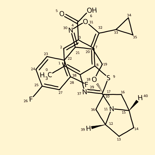 Cc1cc(C(=O)O)cc2sc(N3[C@@H]4CC[C@H]3C[C@@H](OCc3c(-c5ccc(F)cc5F)noc3C3CC3)C4)nc12